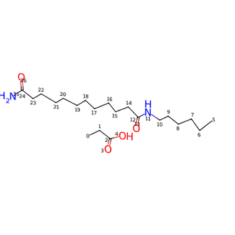 CCC(=O)O.CCCCCCNC(=O)CCCCCCCCCCC(N)=O